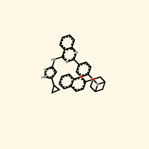 c1ccc2nc(CN3C4CC3CN(c3ccc(-c5nc(Nc6cc(C7CC7)[nH]n6)c6ccccc6n5)cn3)C4)ccc2c1